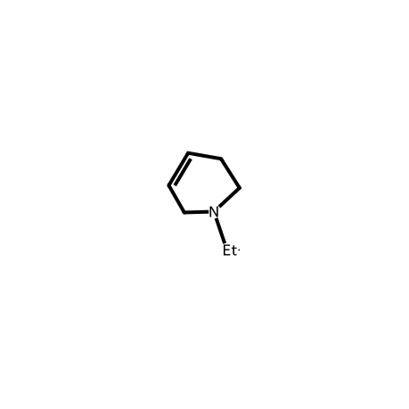 C[CH]N1CC=CCC1